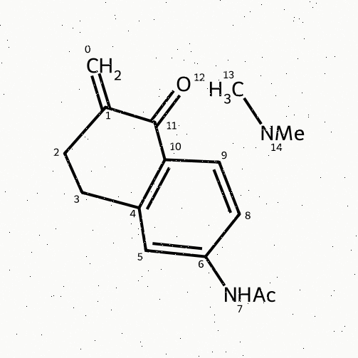 C=C1CCc2cc(NC(C)=O)ccc2C1=O.CNC